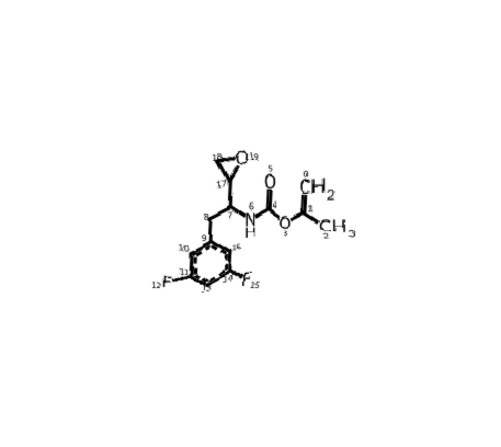 C=C(C)OC(=O)NC(Cc1cc(F)cc(F)c1)C1CO1